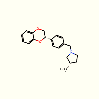 O=C(O)[C@H]1CCN(Cc2ccc([C@H]3COc4ccccc4O3)cc2)C1